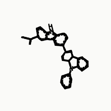 CC(C)c1ccc2[nH]c3ccc(C4=CC5c6ccccc6N(c6ccccc6)C5C=C4)cc3c2c1